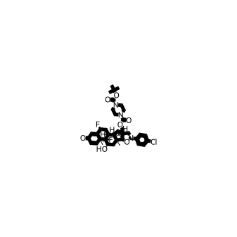 CC(C)(C)OC(=O)N1CCN(C(=O)OCC(=O)[C@@]23ON(c4ccc(Cl)cc4)C[C@@H]2C[C@H]2[C@@H]4C[C@H](F)C5=CC(=O)C=C[C@]5(C)[C@@]4(F)[C@@H](O)C[C@@]23C)CC1